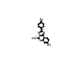 CCCCc1nc2cc(Cl)ccc2c2nc(-c3ccc(Br)cc3)nn12